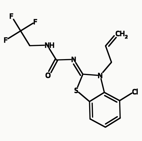 C=CCn1c(=NC(=O)NCC(F)(F)F)sc2cccc(Cl)c21